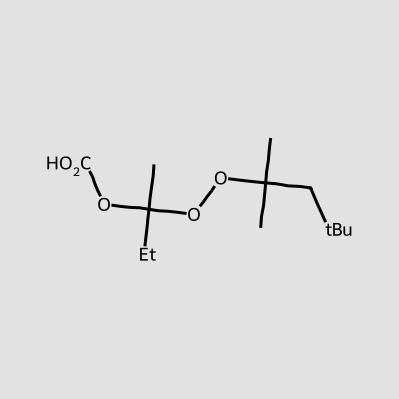 CCC(C)(OOC(C)(C)CC(C)(C)C)OC(=O)O